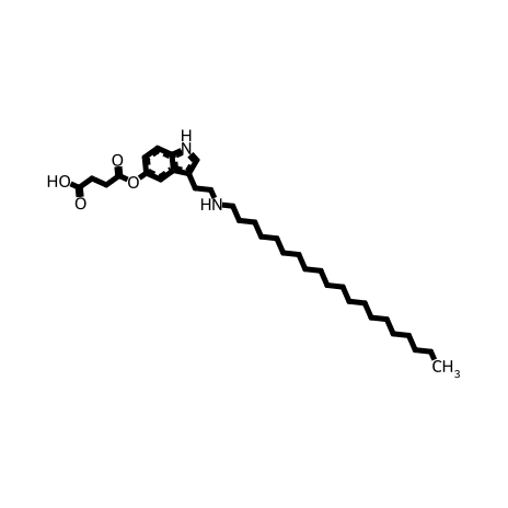 CCCCCCCCCCCCCCCCCCCCNCCc1c[nH]c2ccc(OC(=O)CCC(=O)O)cc12